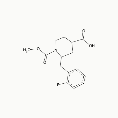 COC(=O)N1CCC(C(=O)O)CC1Cc1ccccc1F